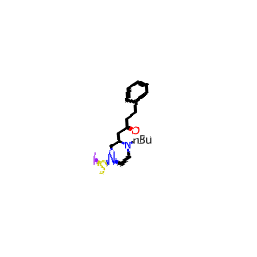 CCCCN1CCN(SI)CC1CC(=O)CCc1ccccc1